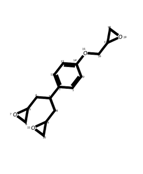 c1cc(C(CC2CO2)CC2CO2)ccc1OCC1CO1